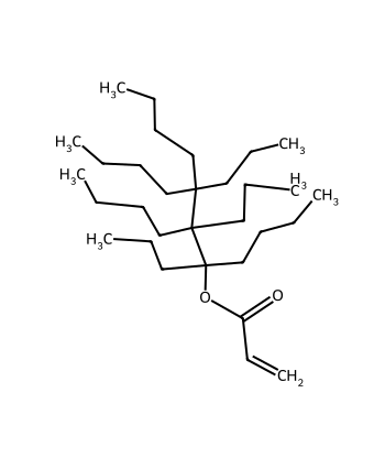 C=CC(=O)OC(CCC)(CCCC)C(CCC)(CCCC)C(CCC)(CCCC)CCCC